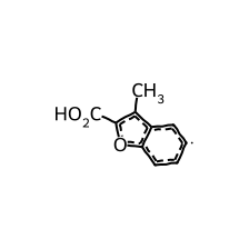 Cc1c(C(=O)O)oc2cc[c]cc12